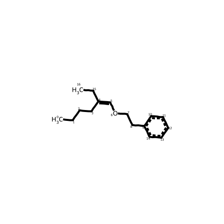 CCCCC(=COCCc1ccccc1)CC